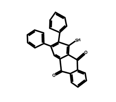 O=C1c2ccccc2C(=O)c2c1cc(-c1ccccc1)c(-c1ccccc1)c2S